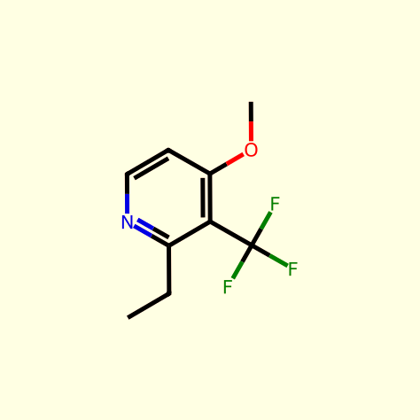 CCc1nccc(OC)c1C(F)(F)F